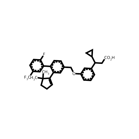 CC1(C)CCC=C1c1cc(COc2cccc(C(CC(=O)O)C3CC3)c2)ccc1-c1cc(C(F)(F)F)ccc1F